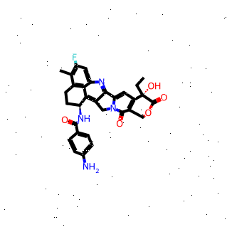 CC[C@@]1(O)C(=O)OCc2c1cc1n(c2=O)Cc2c-1nc1cc(F)c(C)c3c1c2[C@@H](NC(=O)c1ccc(N)cc1)CC3